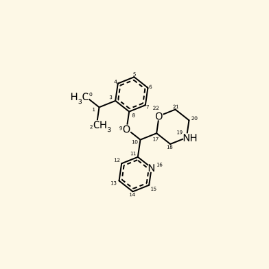 CC(C)c1ccccc1OC(c1ccccn1)C1CNCCO1